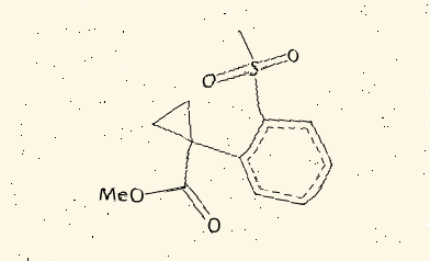 COC(=O)C1(c2ccccc2S(C)(=O)=O)CC1